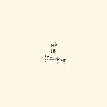 F.F.F.[B]=C